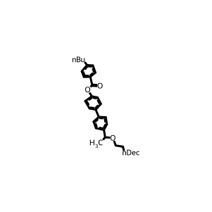 CCCCCCCCCCCCOC(C)c1ccc(-c2ccc(OC(=O)c3ccc(CCCC)cc3)cc2)cc1